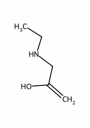 C=C(O)CNCC